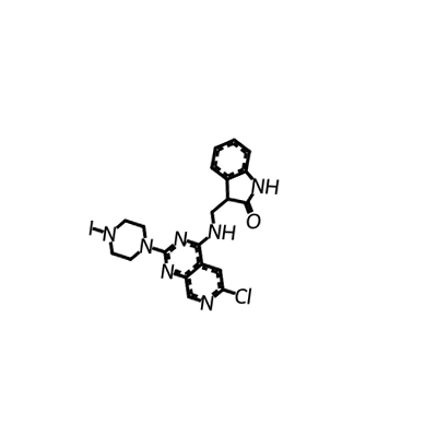 O=C1Nc2ccccc2C1CNc1nc(N2CCN(I)CC2)nc2cnc(Cl)cc12